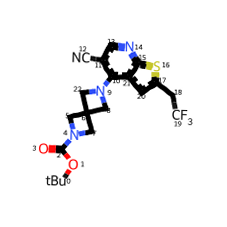 CC(C)(C)OC(=O)N1CC2(C1)CN(c1c(C#N)cnc3sc(CC(F)(F)F)cc13)C2